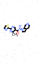 Cc1nc(-c2nccs2)ncc1C(=O)Nn1ccc2ccncc21